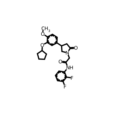 COc1ccc(C2CC(=O)N(CC(=O)Nc3cccc(F)c3F)C2)cc1OC1CCCC1